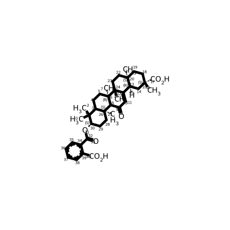 CC1(C)C2CC[C@]3(C)C(C(=O)C=C4[C@@H]5C[C@@](C)(C(=O)O)CC[C@]5(C)CCC43C)[C@@]2(C)CC[C@@H]1OC(=O)c1ccccc1C(=O)O